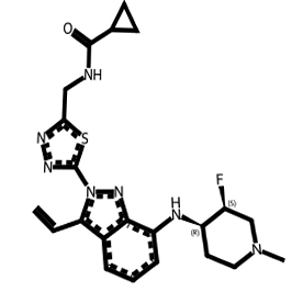 C=Cc1c2cccc(N[C@@H]3CCN(C)C[C@@H]3F)c2nn1-c1nnc(CNC(=O)C2CC2)s1